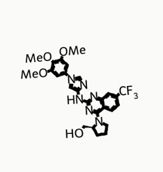 COc1cc(-n2cnc(Nc3nc(N4CCC[C@H]4CO)c4ccc(C(F)(F)F)cc4n3)c2)cc(OC)c1OC